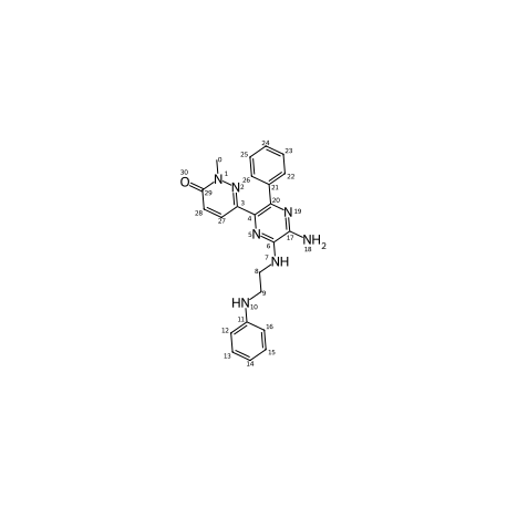 Cn1nc(-c2nc(NCCNc3ccccc3)c(N)nc2-c2ccccc2)ccc1=O